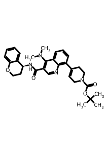 CN(C)c1c(C(=O)N[C@H]2CCOc3ccccc32)cnc2c(C3=CCN(C(=O)OC(C)(C)C)CC3)cccc12